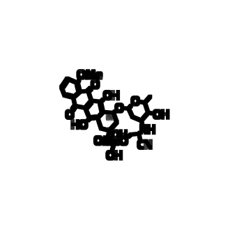 COCC(C#N)NC1CC(O[C@H]2C[C@](O)(C(=O)CO)Cc3c(O)c4c(c(O)c32)C(=O)c2c(OC)cccc2C4=O)OC(C)C1O